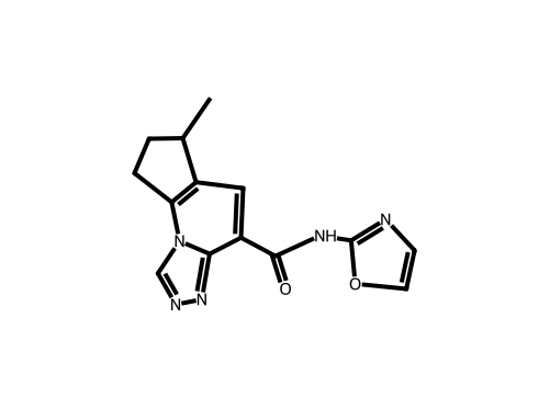 CC1CCc2c1cc(C(=O)Nc1ncco1)c1nncn21